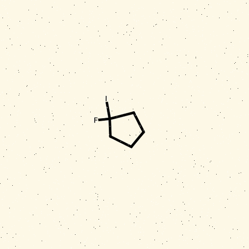 FC1(I)CCCC1